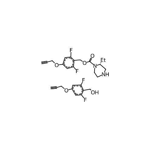 C#CCOc1cc(F)c(CO)c(F)c1.C#CCOc1cc(F)c(COC(=O)N2CCNC[C@H]2CC)c(F)c1